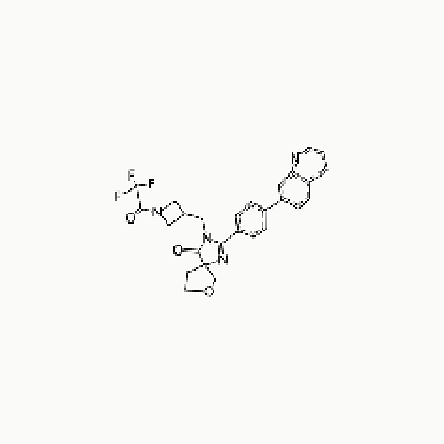 O=C(N1CC(CN2C(=O)C3(CCOC3)N=C2c2ccc(-c3ccc4cccnc4c3)cc2)C1)C(F)(F)F